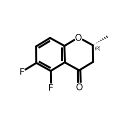 C[C@@H]1CC(=O)c2c(ccc(F)c2F)O1